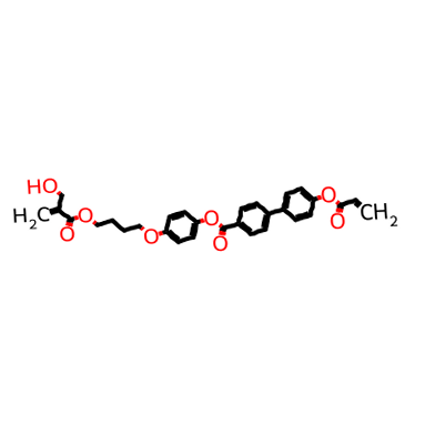 C=CC(=O)Oc1ccc(-c2ccc(C(=O)Oc3ccc(OCCCCOC(=O)C(=C)CO)cc3)cc2)cc1